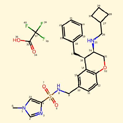 Cn1cnc(S(=O)(=O)NCc2ccc3c(c2)[C@@H](Cc2ccccc2)[C@@H](NCC2CCC2)CO3)c1.O=C(O)C(F)(F)F